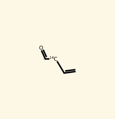 C=C[14CH2][C]=O